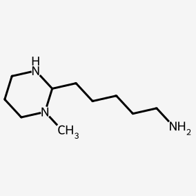 CN1CCCNC1CCCCCN